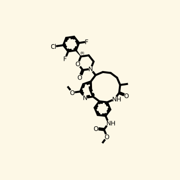 COC(=O)Nc1ccc2c(c1)NC(=O)C(C)CCCC(N1CC[C@H](c3c(F)ccc(Cl)c3F)OC1=O)c1cc(OC)nc-2c1